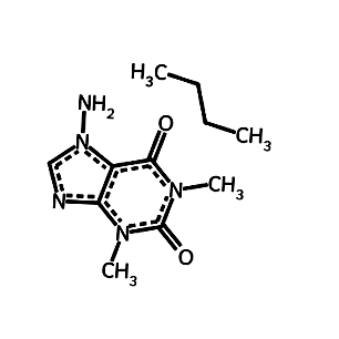 CCCC.Cn1c(=O)c2c(ncn2N)n(C)c1=O